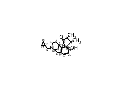 CC(C)C(C)C(=O)C[C@]12CCN(CC3CC3)C(Cc3ccc(O)cc31)C2